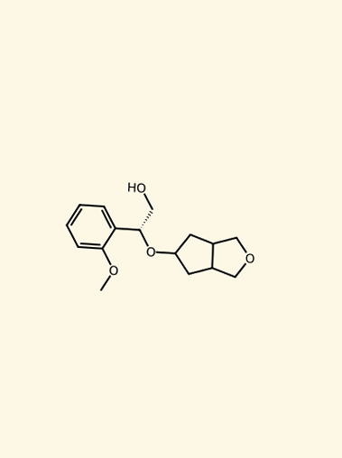 COc1ccccc1[C@H](CO)OC1CC2COCC2C1